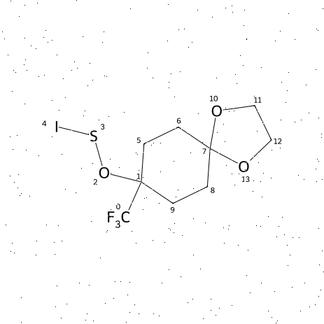 FC(F)(F)C1(OSI)CCC2(CC1)OCCO2